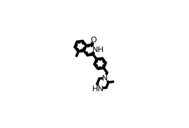 Cc1cccc2c(=O)[nH]c(-c3ccc(CN4CCNCC4C)cc3)cc12